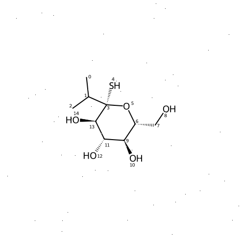 CC(C)[C@@]1(S)O[C@H](CO)[C@@H](O)[C@H](O)[C@H]1O